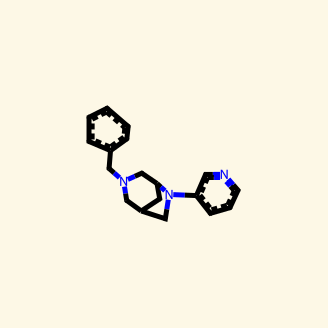 c1ccc(CN2CC3CC(C2)N(c2cccnc2)C3)cc1